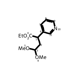 CCOC(=O)C(CC(OC)OC)c1cccnc1